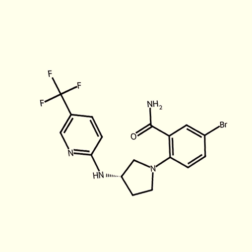 NC(=O)c1cc(Br)ccc1N1CC[C@H](Nc2ccc(C(F)(F)F)cn2)C1